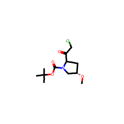 CO[C@H]1CC(C(=O)CCl)N(C(=O)OC(C)(C)C)C1